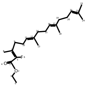 CCOC(=O)/C(F)=C(\C)CC/C=C(\C)CC/C=C(\C)CCC=C(C)C